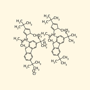 CC1C=C(C(C)(C)C)C=[C]1[Hf]([c]1cc(C(C)(C)C)cc2c1Cc1ccc(C(C)(C)C)cc1-2)=[Si](C)C.CC1C=C(C(C)(C)C)C=[C]1[Hf]([c]1cc(C(C)(C)C)cc2c1Cc1ccc(C(C)(C)C)cc1-2)=[Si](C)C.[Cl-].[Cl-]